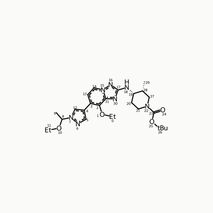 CCOc1c(-c2cnn(C(C)OCC)c2)ccn2nc(N[C@H]3CCN(C(=O)OC(C)(C)C)C[C@H]3C)nc12